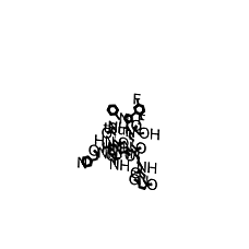 CC(C)(C)[C@H](c1cc(-c2cc(F)ccc2F)cn1Cc1ccccc1)N(CC[C@H](NC(=O)[C@H](CC(N)=O)NC(=O)[C@@H](CC(N)=O)NC(=O)CNC(=O)Cc1ccncc1)C(=O)NCCNC(=O)CN1C(=O)C=CC1=O)C(=O)CO